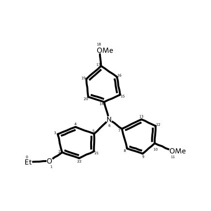 CCOc1ccc(N(c2ccc(OC)cc2)c2ccc(OC)cc2)cc1